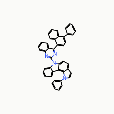 c1ccc(-c2ccc(-c3nc(-n4c5ccccc5c5c6c(ccc54)ccn6-c4ccccc4)nc4ccccc34)c3ccccc23)cc1